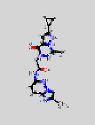 Cc1cn2nc(NC(=O)Cn3nc(C(C)C)n4nc(C5CC5)cc4c3=O)ccc2n1